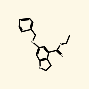 CCOC(=O)c1cc(OCc2ccccc2)cc2c1CCO2